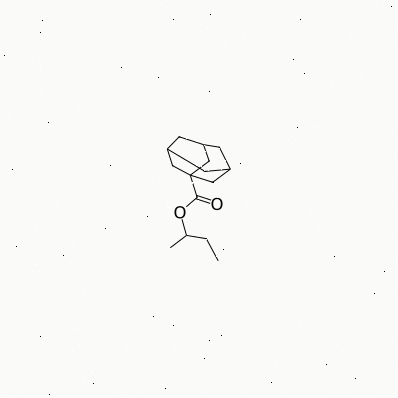 CCC(C)OC(=O)C12CC3CC(CC(C3)C1)C2